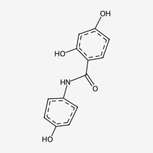 O=C(Nc1ccc(O)cc1)c1ccc(O)cc1O